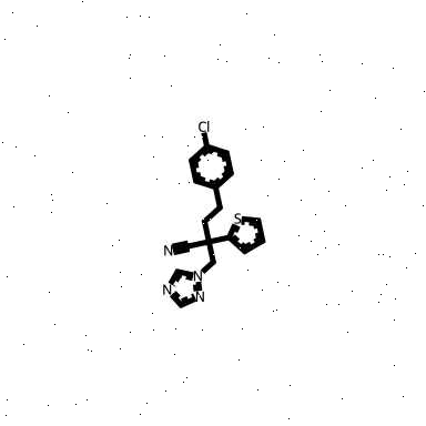 N#CC(CCc1ccc(Cl)cc1)(Cn1cncn1)c1cccs1